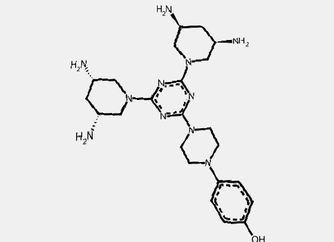 N[C@@H]1C[C@H](N)CN(c2nc(N3CCN(c4ccc(O)cc4)CC3)nc(N3C[C@H](N)C[C@H](N)C3)n2)C1